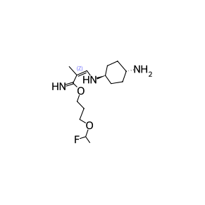 C/C(=C/N[C@H]1CC[C@H](N)CC1)C(=N)OCCCOC(C)F